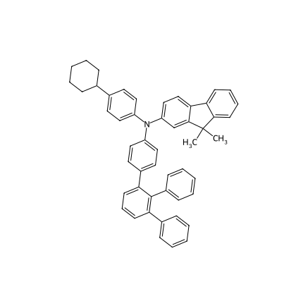 CC1(C)c2ccccc2-c2ccc(N(c3ccc(-c4cccc(-c5ccccc5)c4-c4ccccc4)cc3)c3ccc(C4CCCCC4)cc3)cc21